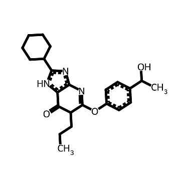 CCCC1C(=O)c2[nH]c(C3CCCCC3)nc2N=C1Oc1ccc(C(C)O)cc1